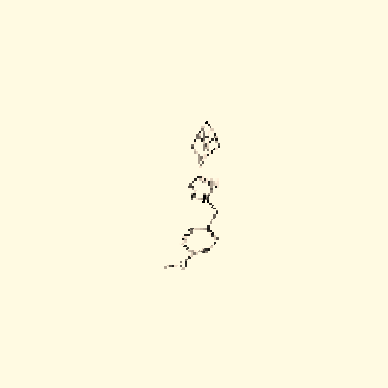 COc1ccc(Cn2ccc(N3CC4CC(C3)N4)n2)cc1